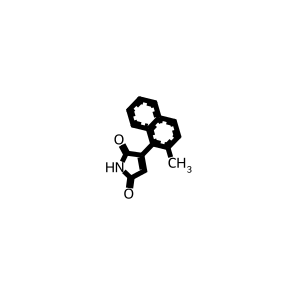 Cc1ccc2ccccc2c1C1=CC(=O)NC1=O